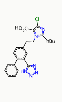 CCCCc1nc(Cl)c(C(=O)O)n1CCc1ccc(-c2ccccc2)c(-c2nnn[nH]2)c1